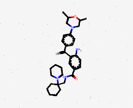 B=C(c1ccc(N2CC(C)OC(C)C2)cc1)c1cc(C(=O)NCC2(N3CCCCC3)CCCCC2)ccc1N